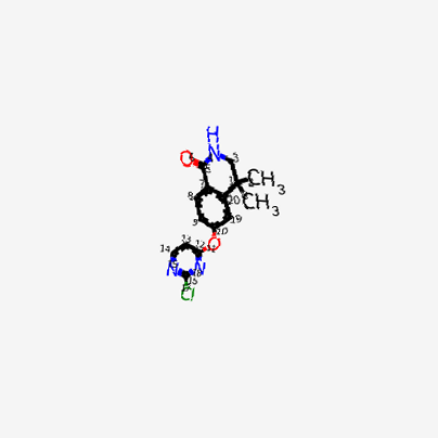 CC1(C)CNC(=O)c2ccc(Oc3ccnc(Cl)n3)cc21